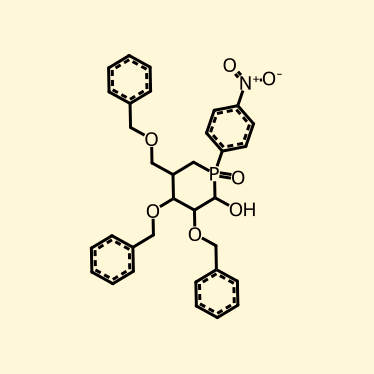 O=[N+]([O-])c1ccc(P2(=O)CC(COCc3ccccc3)C(OCc3ccccc3)C(OCc3ccccc3)C2O)cc1